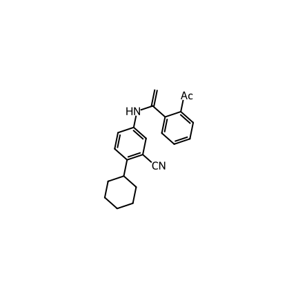 C=C(Nc1ccc(C2CCCCC2)c(C#N)c1)c1ccccc1C(C)=O